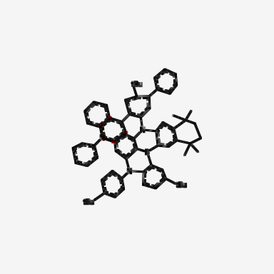 CC(C)(C)c1ccc(N2c3ccc(C(C)(C)C)cc3B3c4cc5c(cc4N(c4cc(-c6ccccc6)c(C(C)(C)C)cc4-c4ccccc4)c4cc(N(c6ccccc6)c6ccccc6)cc2c43)C(C)(C)CCC5(C)C)cc1